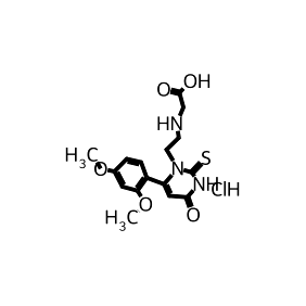 COc1ccc(-c2cc(=O)[nH]c(=S)n2CCNCC(=O)O)c(OC)c1.Cl